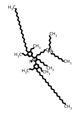 CCCCCCCCCCCCCCCCCCCCCc1c(CCC)cc(C2=C(CCCCCC)C(CCCCCC)=C(c3cc(CCC)c(CCCCCCCCCCCCCCCCCCCCC)c(CCC)c3)[N+]2=[N-])cc1CCC.CCCCCCC[CH2][Pd][CH2]CCCCCCC